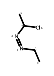 CC/N=N\C(C)Cl